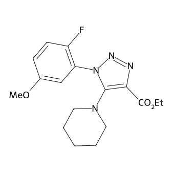 CCOC(=O)c1nnn(-c2cc(OC)ccc2F)c1N1CCCCC1